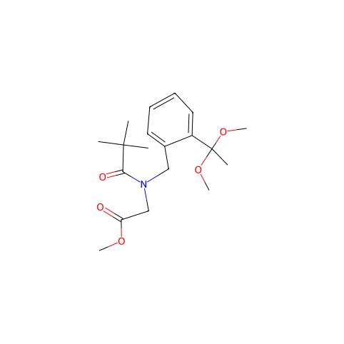 COC(=O)CN(Cc1ccccc1C(C)(OC)OC)C(=O)C(C)(C)C